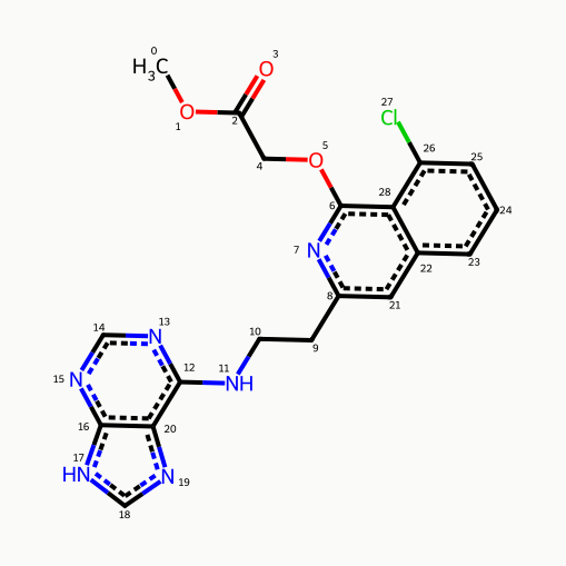 COC(=O)COc1nc(CCNc2ncnc3[nH]cnc23)cc2cccc(Cl)c12